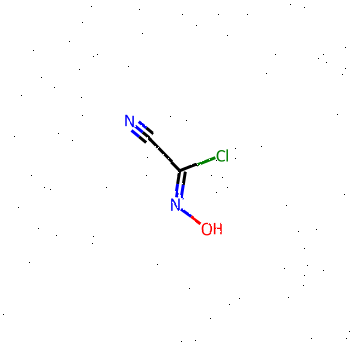 N#CC(Cl)=NO